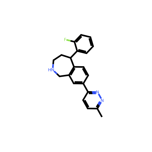 Cc1ccc(-c2ccc3c(c2)CNCCC3c2ccccc2F)nn1